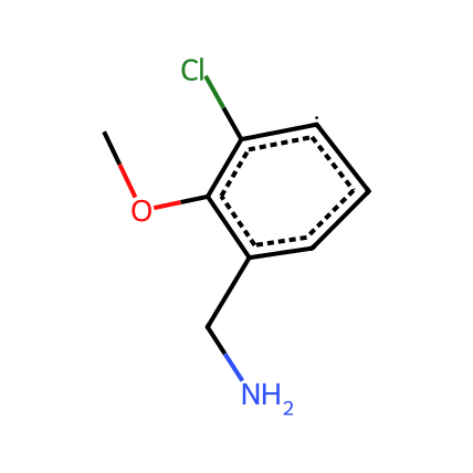 COc1c(Cl)[c]ccc1CN